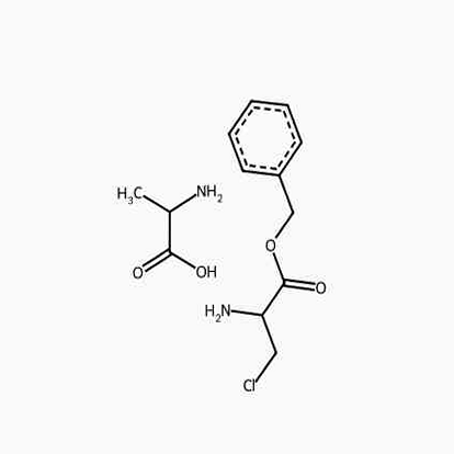 CC(N)C(=O)O.NC(CCl)C(=O)OCc1ccccc1